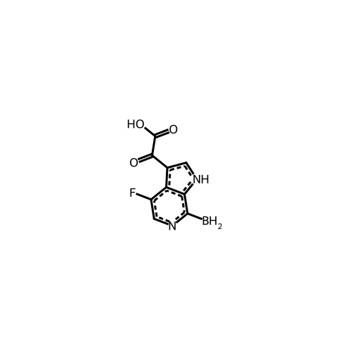 Bc1ncc(F)c2c(C(=O)C(=O)O)c[nH]c12